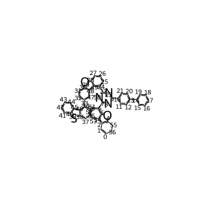 C1=Cc2c(oc3c(-c4nc(-c5ccc(-c6ccccc6)cc5)nc(-c5cccc6oc7ccc(-c8cccc9sc%10ccccc%10c89)cc7c56)n4)cccc23)CC1